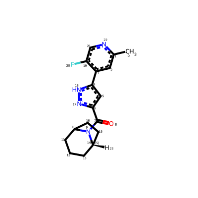 Cc1cc(-c2cc(C(=O)N3C4CCC[C@H]3CC4)n[nH]2)c(F)cn1